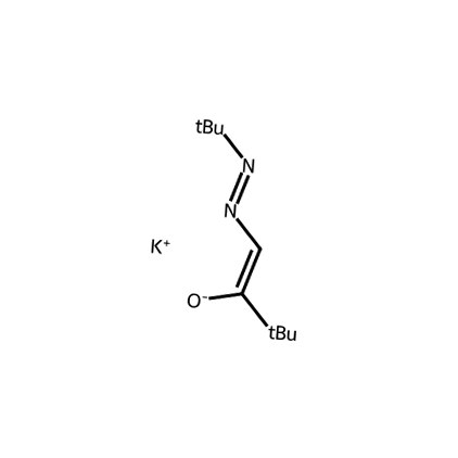 CC(C)(C)N=NC=C([O-])C(C)(C)C.[K+]